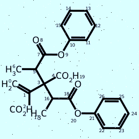 C=C(C(=O)O)C(C(=O)O)(C(C)C(=O)Oc1ccccc1)C(C)C(=O)Oc1ccccc1